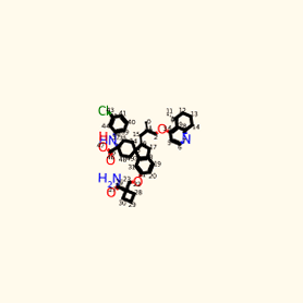 C[C@@H](COc1ccnc2c1[C@H](C)CCC2)C[C@H]1Cc2ccc(OCC3(C(N)=O)CCC3)cc2C12CCC(Nc1cccc(Cl)c1)(C(=O)O)CC2